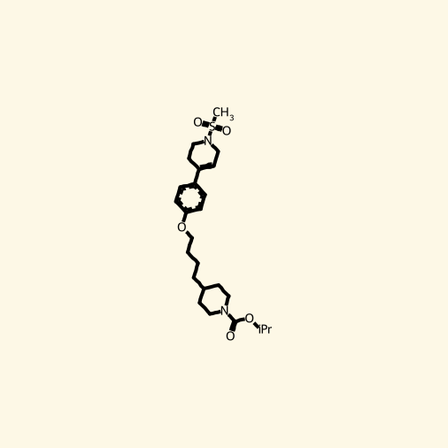 CC(C)OC(=O)N1CCC(CCCCOc2ccc(C3=CCN(S(C)(=O)=O)CC3)cc2)CC1